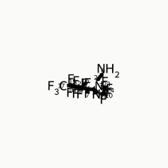 NCCN1C(C(F)(F)C(F)(F)C(F)(F)C(F)(F)C(F)(F)F)=NC(F)(F)C1(F)F